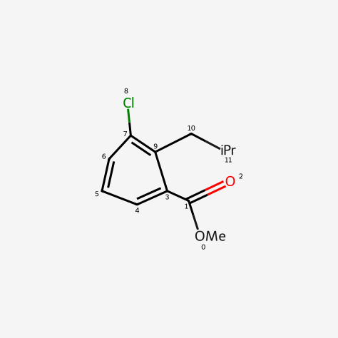 COC(=O)c1cccc(Cl)c1CC(C)C